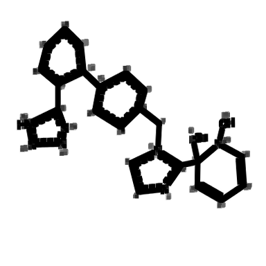 CCCCC1(c2nccn2Cc2ccc(-c3ccccc3-c3nnn[nH]3)cc2)C=CC=CN1O